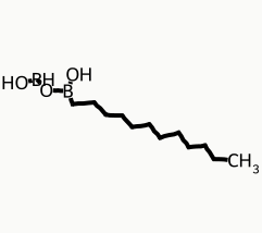 CCCCCCCCCCCCB(O)OBO